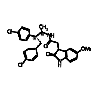 COc1ccc2c(c1)C(CC(=O)N[C@H](C)[C@H](Cc1ccc(Cl)cc1)c1ccc(Cl)cc1)C(=O)N2